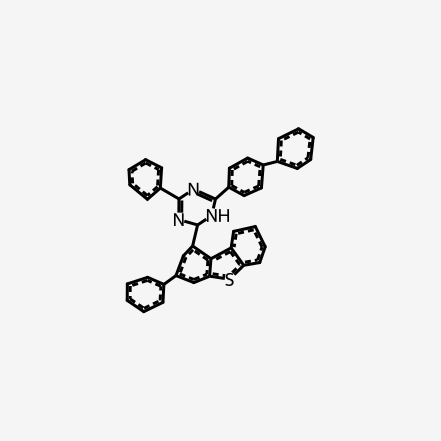 c1ccc(C2=NC(c3cc(-c4ccccc4)cc4sc5ccccc5c34)NC(c3ccc(-c4ccccc4)cc3)=N2)cc1